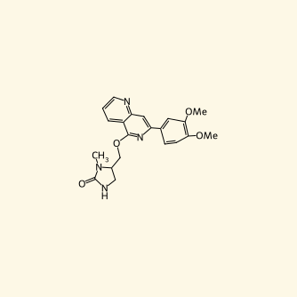 COc1ccc(-c2cc3ncccc3c(OCC3CNC(=O)N3C)n2)cc1OC